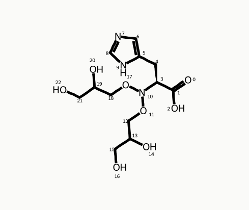 O=C(O)[C@H](Cc1cnc[nH]1)N(OCC(O)CO)OCC(O)CO